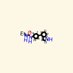 CCNC(=O)Nc1ccc(-c2cccc3[nH]ccc23)cc1